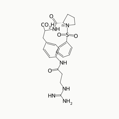 N=C(N)NCCC(=O)Nc1ccc(CC(NC(=O)[C@@H]2CCCN2S(=O)(=O)c2ccccc2)C(=O)O)cc1